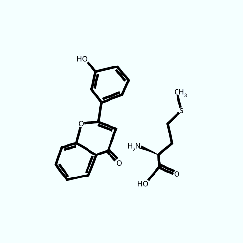 CSCC[C@H](N)C(=O)O.O=c1cc(-c2cccc(O)c2)oc2ccccc12